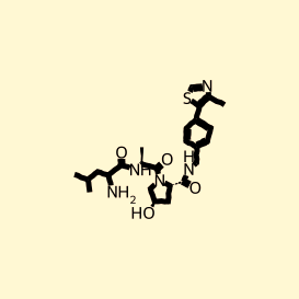 Cc1ncsc1-c1ccc(CNC(=O)[C@@H]2C[C@@H](O)CN2C(=O)[C@H](C)NC(=O)C(N)CC(C)C)cc1